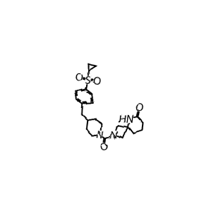 O=C1CCCC2(CN(C(=O)N3CCC(Cc4ccc(S(=O)(=O)C5CC5)cc4)CC3)C2)N1